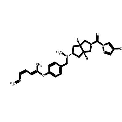 C=N/C=C\C=C(/C)Oc1ccc(CN(C)[C@@H]2C[C@@H]3CN(C(=O)n4cc(Cl)cn4)C[C@@H]3C2)cc1